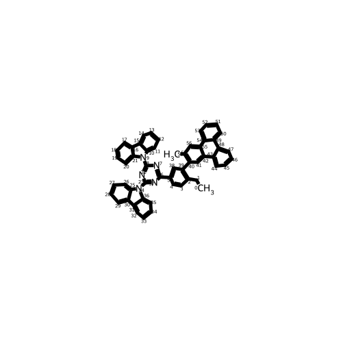 CCc1ccc(-c2nc(-n3c4ccccc4c4ccccc43)nc(-n3c4ccccc4c4ccccc43)n2)cc1-c1cc2c3ccccc3c3ccccc3c2cc1C